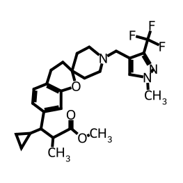 COC(=O)C(C)C(c1ccc2c(c1)OC1(CC2)CCN(Cc2cn(C)nc2C(F)(F)F)CC1)C1CC1